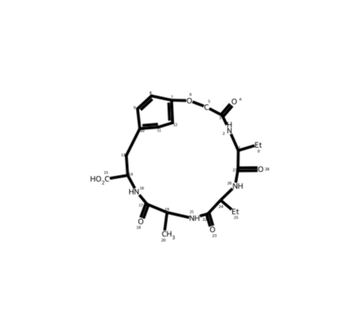 CCC1NC(=O)COc2ccc(cc2)CC(C(=O)O)NC(=O)C(C)NC(=O)C(CC)NC1=O